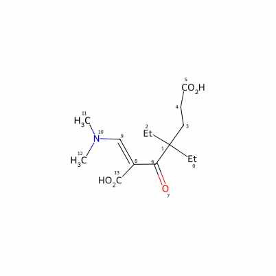 CCC(CC)(CCC(=O)O)C(=O)C(=CN(C)C)C(=O)O